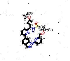 CC(C)(C)[S@@+]([O-])N[C@@H](c1cccc(-c2ccc3cnn(-c4cccc(CO[Si](C)(C)C(C)(C)C)n4)c3c2)n1)[C@H]1C[C@H](O[Si](C)(C)C(C)(C)C)C1